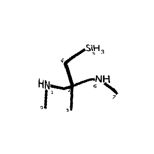 CNC(C)(C[SiH3])NC